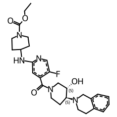 CCOC(=O)N1CCC(Nc2cc(C(=O)N3CC[C@H](N4CCc5ccccc5C4)[C@@H](O)C3)c(F)cn2)CC1